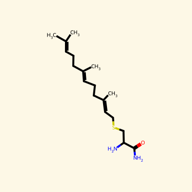 CC(C)=CCC/C(C)=C/CC/C(C)=C/CSCC(N)C(N)=O